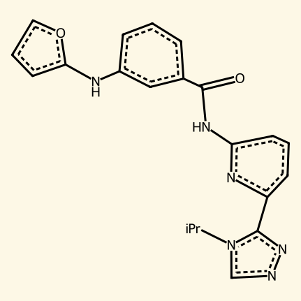 CC(C)n1cnnc1-c1cccc(NC(=O)c2cccc(Nc3ccco3)c2)n1